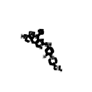 CN1CCN(c2ccc(Nc3ncc4c(n3)N(C35CC(C3)C5)C(=O)[C@@]3(CCNC3=O)C4)cc2F)CC1